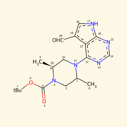 CC1CN(C(=O)OC(C)(C)C)[C@@H](C)CN1c1ncnc2[nH]cc(C=O)c12